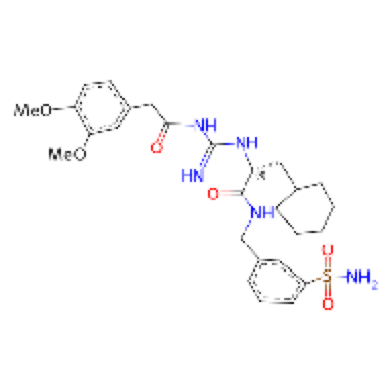 COc1ccc(CC(=O)NC(=N)N[C@H](CC2CCCCC2)C(=O)NCc2cccc(S(N)(=O)=O)c2)cc1OC